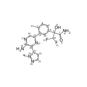 Cc1ccc(C(O)(C(N)=O)C(F)F)cc1-c1cnc(N)c(-c2ccnn2C)n1